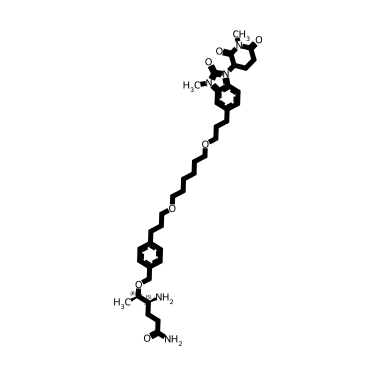 C[C@@H](OCc1ccc(CCCOCCCCCCOCCCc2ccc3c(c2)n(C)c(=O)n3C2CCC(=O)N(C)C2=O)cc1)[C@@H](N)CCC(N)=O